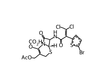 CC(=O)OCC1=C(OC(=O)O)N2C(=O)C(NC(=O)C(=C(Cl)Cl)c3ccc(Br)s3)[C@@H]2SC1